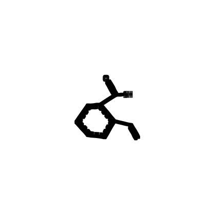 C=Cc1ccccc1C(=O)S